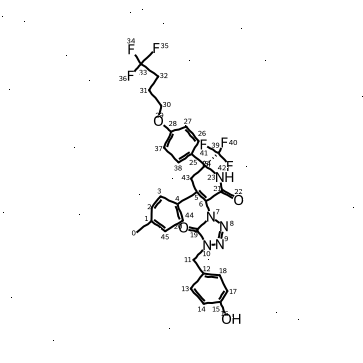 Cc1ccc(C2=C(n3nnn(Cc4ccc(O)cc4)c3=O)C(=O)N[C@@](c3ccc(OCCCC(F)(F)F)cc3)(C(F)(F)F)C2)cc1